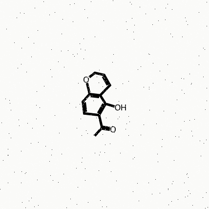 CC(=O)c1ccc2c(c1O)C=CCO2